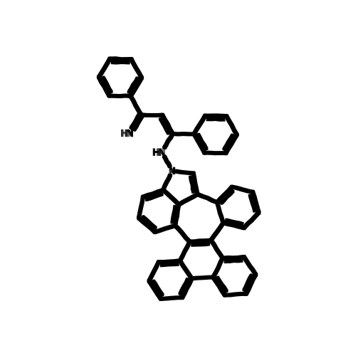 N=C(/C=C(\Nn1cc2c3c(cccc31)-c1c(c3ccccc3c3ccccc13)-c1ccccc1-2)c1ccccc1)c1ccccc1